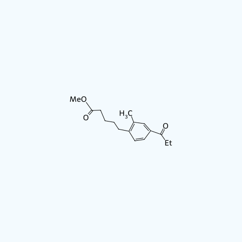 CCC(=O)c1ccc(CCCCC(=O)OC)c(C)c1